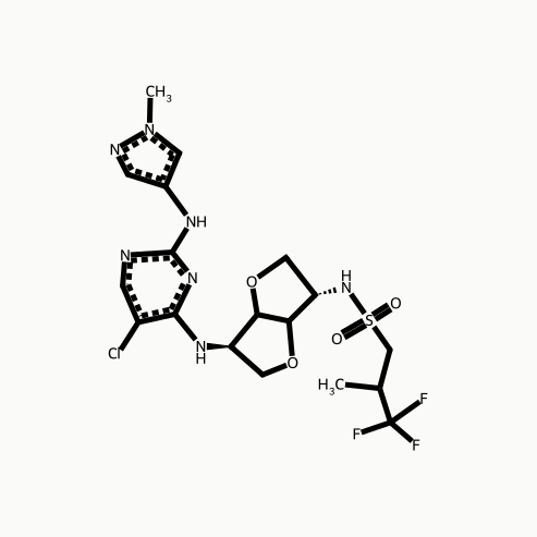 CC(CS(=O)(=O)N[C@H]1COC2C1OC[C@H]2Nc1nc(Nc2cnn(C)c2)ncc1Cl)C(F)(F)F